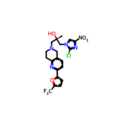 C[C@](O)(CN1CCc2nc(-c3ccc(C(F)(F)F)o3)ccc2C1)Cn1cc([N+](=O)[O-])nc1Cl